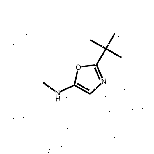 CNc1cnc(C(C)(C)C)o1